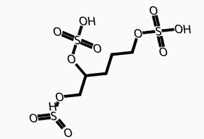 O=[SH](=O)OCC(CCCOS(=O)(=O)O)OS(=O)(=O)O